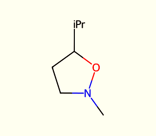 CC(C)C1CCN(C)O1